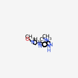 COCCN1CCC(N2Cc3c(ccc4[nH]ncc5nn(C(C)C)c3c5=4)=N2)CC1